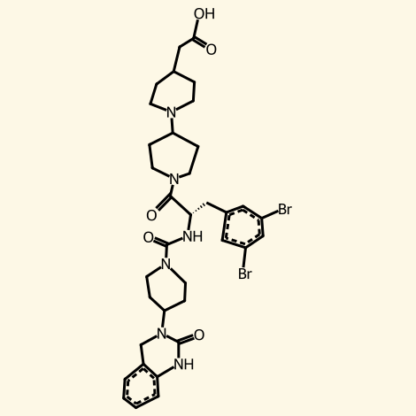 O=C(O)CC1CCN(C2CCN(C(=O)[C@H](Cc3cc(Br)cc(Br)c3)NC(=O)N3CCC(N4Cc5ccccc5NC4=O)CC3)CC2)CC1